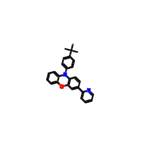 CC(C)(C)c1ccc(N2c3ccccc3Oc3cc(-c4ccccn4)ccc32)cc1